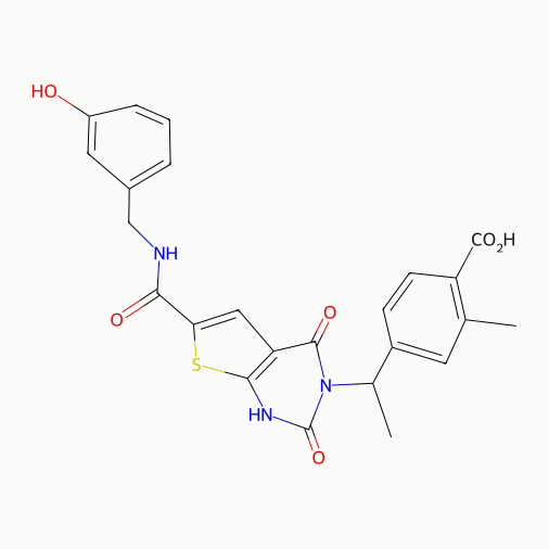 Cc1cc(C(C)n2c(=O)[nH]c3sc(C(=O)NCc4cccc(O)c4)cc3c2=O)ccc1C(=O)O